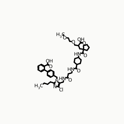 CCCCc1nc(Cl)c(CNC(=O)CCNC(=O)C2CCC(NC(=O)C3(CC(COCCOC)C(=O)O)CCCC3)CC2)n1Cc1ccc(-c2ccccc2C(=O)O)cc1